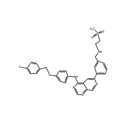 CS(=O)(=O)CCNCc1cccc(-c2cc3c(Nc4ccc(OCc5ccc(F)cc5)cc4)ncnc3cn2)c1